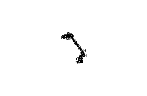 Cn1ncc(-c2nc(N[C@H]3CC[C@H](NCCOCCOCCOCCOCCNc4cccc5c4C(=O)N(C4CCC(=O)NC4=O)C5=O)CC3)ncc2Cl)c1CC1CC1